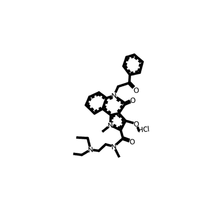 CCN(CC)CCN(C)C(=O)c1c(OC)c2c(=O)n(CC(=O)c3ccccc3)c3ccccc3c2n1C.Cl